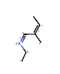 C/C=C(C)\C=N/CC